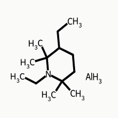 CCC1CCC(C)(C)N(CC)C1(C)C.[AlH3]